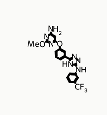 COc1nc(N)cc(Oc2cccc(-c3nnc(Nc4cccc(C(F)(F)F)c4)[nH]3)c2)n1